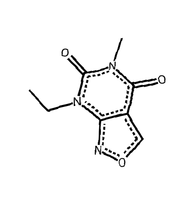 CCn1c(=O)n(C)c(=O)c2conc21